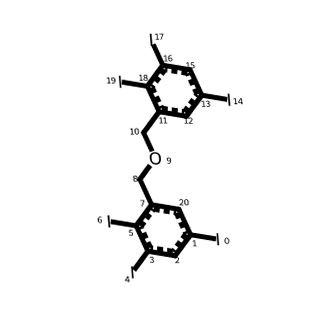 Ic1cc(I)c(I)c(COCc2cc(I)cc(I)c2I)c1